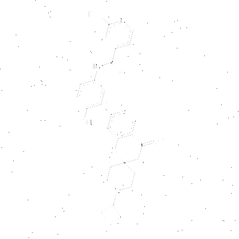 Cc1ccc(NC(=O)c2ccnc(C(F)(F)F)c2)cc1-c1ccc2c(c1)OC1(CCN(C3COC3)CC1)CC2=O